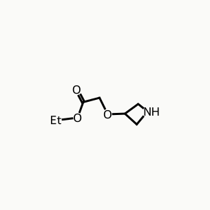 CCOC(=O)COC1CNC1